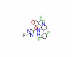 CC(C)c1ncc(C(=O)Nc2c(-c3cc(F)ccc3F)ccnc2C2CCOCC2C(F)F)cn1